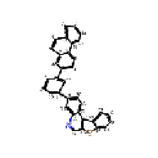 c1cc(-c2ccc3c(ccc4ccccc43)c2)cc(-c2ccc3c(c2)ncc2sc4ccccc4c23)c1